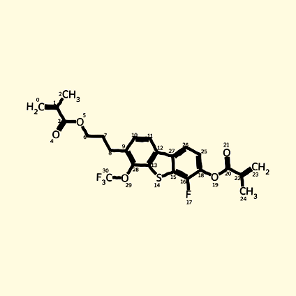 C=C(C)C(=O)OCCCc1ccc2c(sc3c(F)c(OC(=O)C(=C)C)ccc32)c1OC(F)(F)F